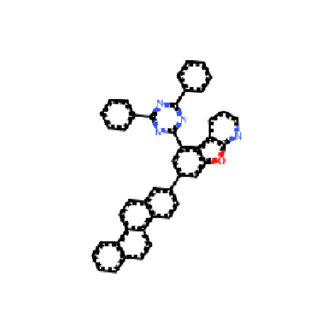 c1ccc(-c2nc(-c3ccccc3)nc(-c3cc(-c4ccc5c(ccc6c7ccccc7ccc56)c4)cc4oc5ncccc5c34)n2)cc1